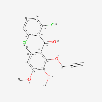 C#CCOc1c(OC)c(OC)cc(C)c1C(=O)c1c(Cl)cccc1Cl